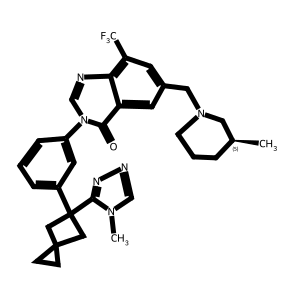 C[C@H]1CCCN(Cc2cc(C(F)(F)F)c3ncn(-c4cccc(C5(c6nncn6C)CC6(CC6)C5)c4)c(=O)c3c2)C1